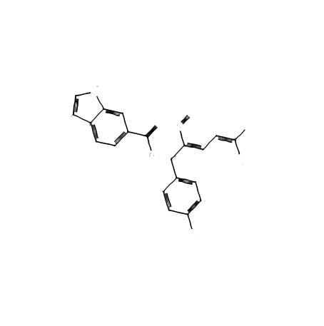 C=N/C(=C\C=C(/C)Cl)[C@@H](NC(=O)c1ccc2ccoc2c1)c1ccc(Cl)cc1